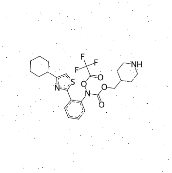 O=C(OCC1CCNCC1)N(OC(=O)C(F)(F)F)c1ccccc1-c1nc(C2CCCCC2)cs1